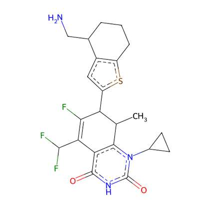 CC1c2c(c(=O)[nH]c(=O)n2C2CC2)C(C(F)F)=C(F)C1c1cc2c(s1)CCCC2CN